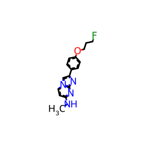 CNc1ccn2cc(-c3ccc(OCCCF)cc3)nc2n1